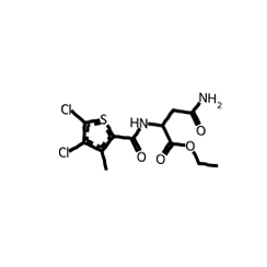 CCOC(=O)C(CC(N)=O)NC(=O)c1sc(Cl)c(Cl)c1C